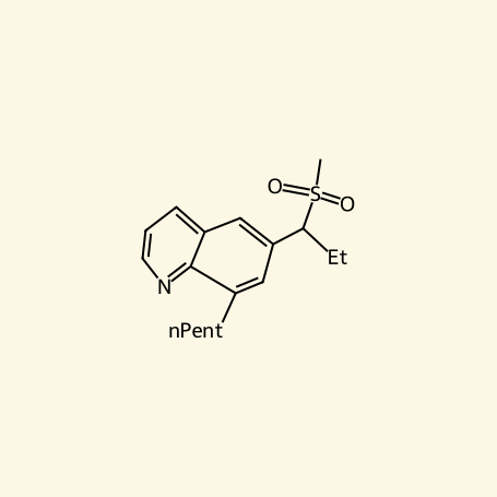 CCCCCc1cc(C(CC)S(C)(=O)=O)cc2cccnc12